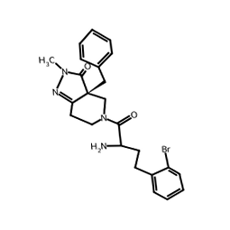 CN1N=C2CCN(C(=O)C(N)CCc3ccccc3Br)C[C@@]2(Cc2ccccc2)C1=O